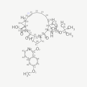 COc1ccc2c(O[C@@H]3C[C@H]4C(=O)N[C@]5(C(=O)O)C[C@H]5/C=C\CCCSC(C)(C)[C@H](NC(=O)OC(C)(C)C)C(=O)N4C3)nccc2c1